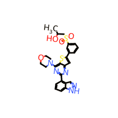 CC(O)CS(=O)(=O)c1cccc(-c2cc3nc(-c4cccc5[nH]ncc45)nc(N4CCOCC4)c3s2)c1